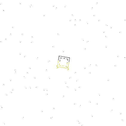 c1css1